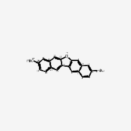 CCCCc1ccc2cc3c(cc2c1)oc1cc2cc(CCCC)ccc2cc13